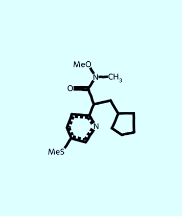 CON(C)C(=O)C(CC1CCCC1)c1ccc(SC)cn1